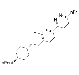 CCCCC[C@H]1CC[C@H](CCc2ccc(-c3ccc(CCC)nn3)cc2F)CC1